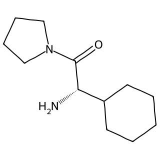 N[C@H](C(=O)N1CCCC1)C1CCCCC1